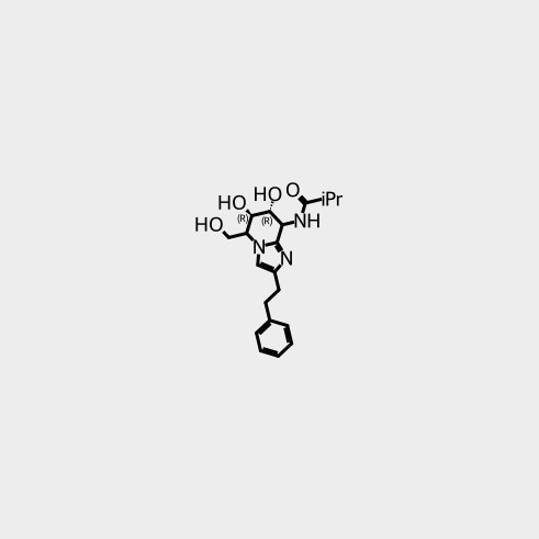 CC(C)C(=O)NC1c2nc(CCc3ccccc3)cn2C(CO)[C@@H](O)[C@@H]1O